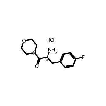 Cl.N[C@@H](Cc1ccc(F)cc1)C(=O)N1CCOCC1